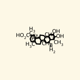 BC1C=C2[C@@](C)(CC[C@@]3(CC)[C@@H]4C[C@](C)(C(=O)O)CC[C@]4(C)CC[C@]23C)c2cc(O)c(O)c(C)c21